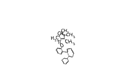 CC1=C(C)C(C)(C)[C]([Ti][O]c2ccccc2-c2ccccc2-c2ccccc2)=C1C